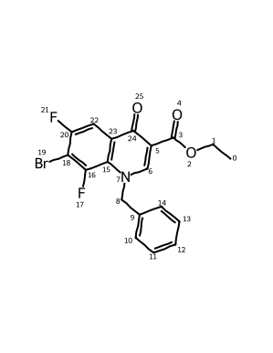 CCOC(=O)c1cn(Cc2ccccc2)c2c(F)c(Br)c(F)cc2c1=O